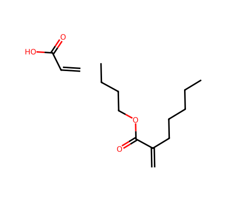 C=C(CCCCC)C(=O)OCCCC.C=CC(=O)O